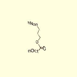 CCCCCCCCCCCCOC(=O)CCCCCCCC